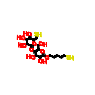 OCC1O[C@H](OCCCCCS)C(O)C(O)[C@@H]1O[C@@H]1OC(CS)[C@H](O)C(O)C1O